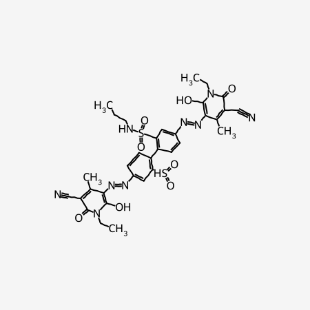 CCCNS(=O)(=O)c1cc(N=Nc2c(C)c(C#N)c(=O)n(CC)c2O)ccc1-c1ccc(N=Nc2c(C)c(C#N)c(=O)n(CC)c2O)cc1[SH](=O)=O